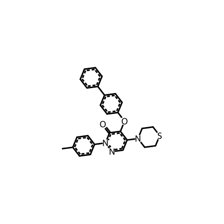 Cc1ccc(-n2ncc(N3CCSCC3)c(Oc3ccc(-c4ccccc4)cc3)c2=O)cc1